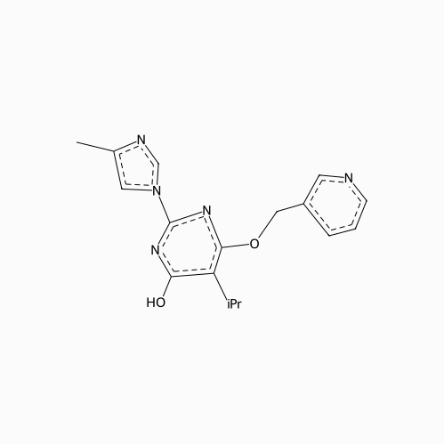 Cc1cn(-c2nc(O)c(C(C)C)c(OCc3cccnc3)n2)cn1